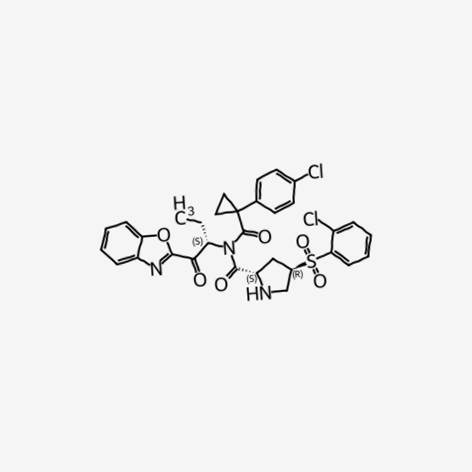 CC[C@@H](C(=O)c1nc2ccccc2o1)N(C(=O)[C@@H]1C[C@@H](S(=O)(=O)c2ccccc2Cl)CN1)C(=O)C1(c2ccc(Cl)cc2)CC1